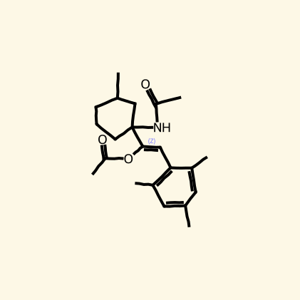 CC(=O)NC1(/C(=C/c2c(C)cc(C)cc2C)OC(C)=O)CCCC(C)C1